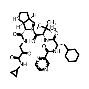 CC(C)(C)[C@H](NC(=O)[C@H](CC1CCCCC1)NC(=O)c1cnccn1)C(=O)N1C[C@@H]2CCN[C@@H]2[C@H]1C(=O)NCC(=O)C(=O)NC1CC1